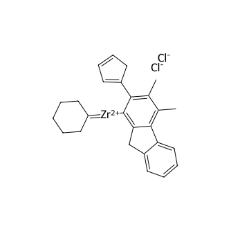 Cc1c(C)c2c([c]([Zr+2]=[C]3CCCCC3)c1C1=CC=CC1)Cc1ccccc1-2.[Cl-].[Cl-]